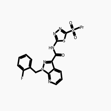 CC(C)S(=O)(=O)c1nnc(NC(=O)c2nn(Cc3ccccc3F)c3ncccc23)s1